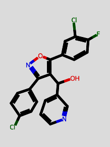 OC(c1cccnc1)c1c(-c2ccc(Cl)cc2)noc1-c1ccc(F)c(Cl)c1